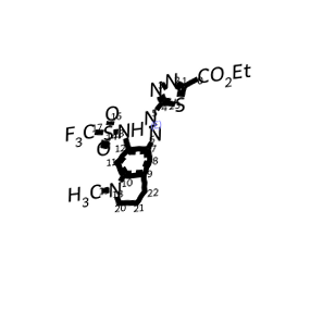 CCOC(=O)c1nnc(/N=N/c2cc3c(cc2NS(=O)(=O)C(F)(F)F)N(C)CCC3)s1